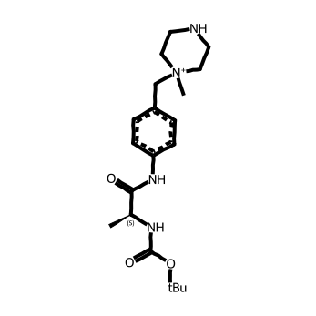 C[C@H](NC(=O)OC(C)(C)C)C(=O)Nc1ccc(C[N+]2(C)CCNCC2)cc1